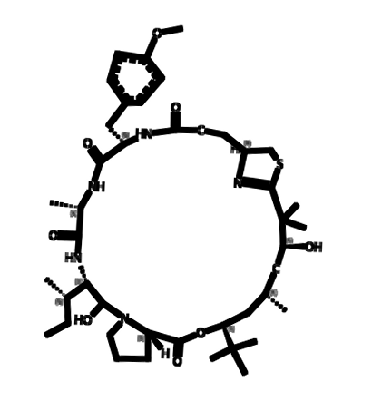 CC[C@H](C)[C@@H]1NC(=O)[C@H](C)NC(=O)[C@H](Cc2ccc(OC)cc2)NC(=O)CC[C@@H]2CSC(=N2)C(C)(C)[C@@H](O)C[C@H](C)C[C@@H](C(C)(C)C)OC(=O)[C@@H]2CCCN2C1O